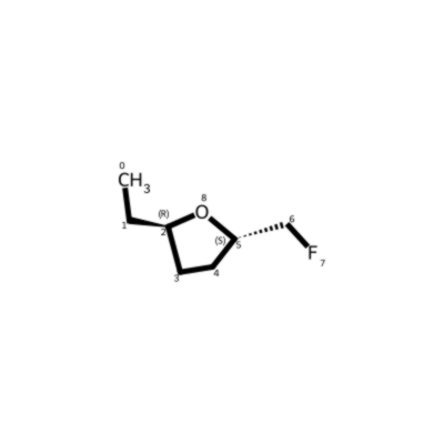 CC[C@@H]1CC[C@@H](CF)O1